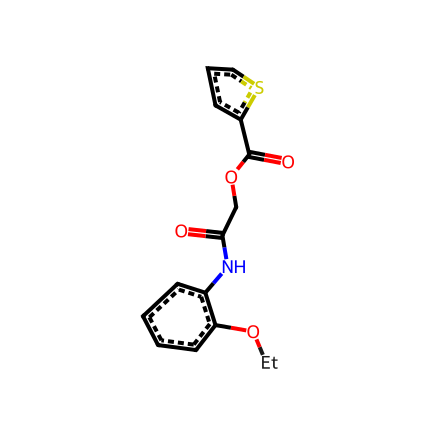 CCOc1ccccc1NC(=O)COC(=O)c1cccs1